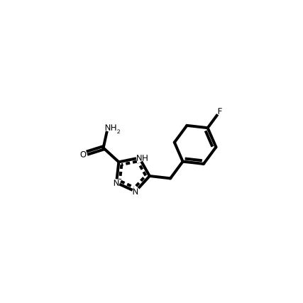 NC(=O)c1nnc(CC2=CC=C(F)CC2)[nH]1